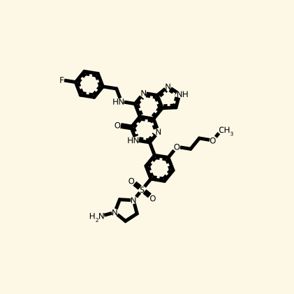 COCCOc1ccc(S(=O)(=O)N2CCN(N)C2)cc1-c1nc2c(c(NCc3ccc(F)cc3)nc3n[nH]cc32)c(=O)[nH]1